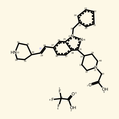 O=C(O)C(F)(F)F.O=C(O)CN1CCC(c2nn(Cc3ccccc3)c3cc(/C=C/C4CCNCC4)ccc23)CC1